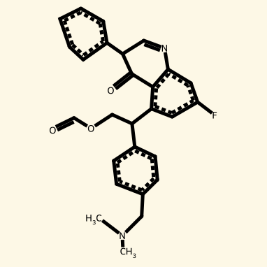 CN(C)Cc1ccc(C(COC=O)c2cc(F)cc3c2C(=O)C(c2ccccc2)C=N3)cc1